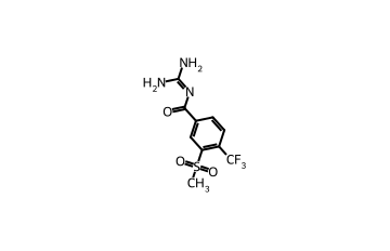 CS(=O)(=O)c1cc(C(=O)N=C(N)N)ccc1C(F)(F)F